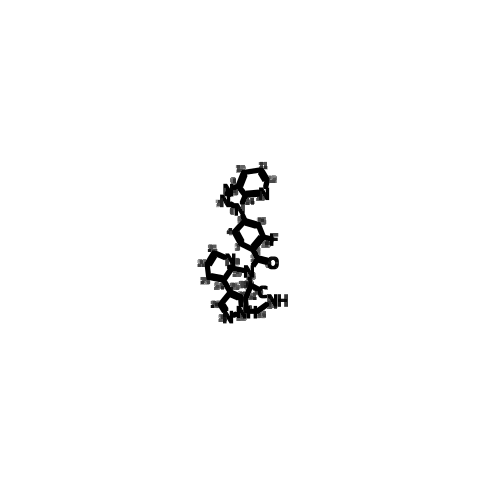 O=C(c1ccc(-n2nnc3cccnc32)cc1F)N(c1ncccc1-c1cn[nH]c1)[C@@H]1CCCNC1